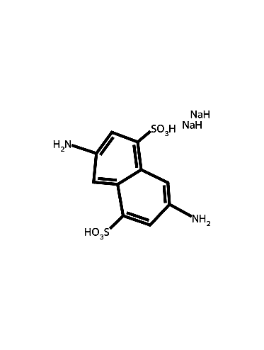 Nc1cc(S(=O)(=O)O)c2cc(N)cc(S(=O)(=O)O)c2c1.[NaH].[NaH]